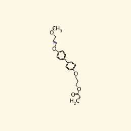 C=CC(=O)OCCCOc1ccc(-c2ccc(O/C=C/COC)cc2)cc1